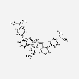 CC1=Cc2c(-c3ccc(C(C)C)cc3)cccc2[CH]1[Hf]1([CH]2C(C)=Cc3c(-c4ccc(C(C)C)cc4)cccc32)[CH2][CH2]1.Cl.Cl